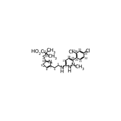 CN1NC(NCCc2csc(SC(C)(C)C(=O)O)n2)=CC=C1c1ccc(Cl)cc1Cl